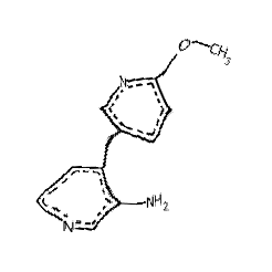 COc1ccc(-c2ccncc2N)cn1